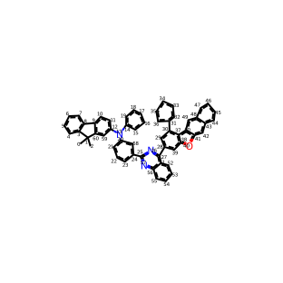 CC1(C)c2ccccc2-c2ccc(N(c3ccccc3)c3cccc(-c4nc(-c5cc(-c6ccccc6)c6c(c5)oc5cc7ccccc7cc56)c5ccccc5n4)c3)cc21